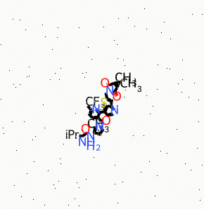 Cc1cc(CC(F)(F)F)nc(-c2ccnc3cc(CN4C(=O)C5C(C4=O)C5(C)C)sc23)c1C(=O)N1CC[C@H](NC(=O)C(N)C(C)C)C1